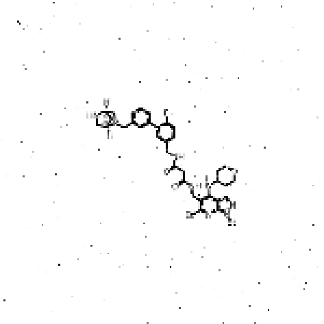 CCc1nc2c(cnn2CC)c(NC2CCOCC2)c1CNC(=O)CC(=O)NCc1ccc(F)c(-c2cccc(CN3C[C@@H]4C[C@H]3CN4)c2)c1